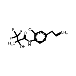 C=CCc1ccc(NC(=O)C(C)(O)C(F)(F)F)c(Cl)c1